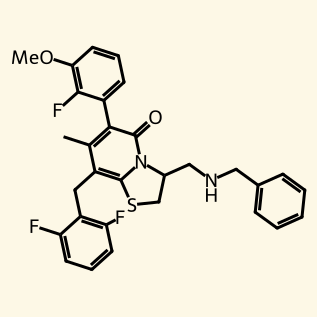 COc1cccc(-c2c(C)c(Cc3c(F)cccc3F)c3n(c2=O)C(CNCc2ccccc2)CS3)c1F